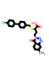 Cc1ccc2c(=O)n(CCC(SCc3ccc(-c4ccc(Cl)cc4)cc3)C(=O)O)nnc2c1